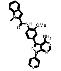 COc1cc(-c2nn(-c3ccncc3)c3ncnc(N)c23)ccc1NC(=O)c1cc2ccccc2n1C